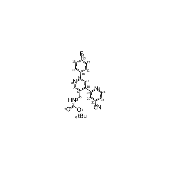 CC(C)(C)OC(=O)NCc1cnc(-c2ccc(F)cc2)cc1-c1cc(C#N)ccn1